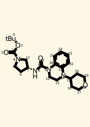 CC(C)(C)OC(=O)N1CC[C@@H](NC(=O)N2CCN(C3CCOCC3)c3ccccc32)C1